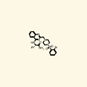 CC(C)[C@H](Nc1nc(CN2CCN(S(=O)(=O)c3ccccc3Br)CC2)nc2ccccc12)C(N)=O